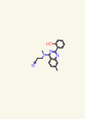 Cc1ccc2c(N(C)CCC#N)nc(-c3ccccc3O)nc2c1